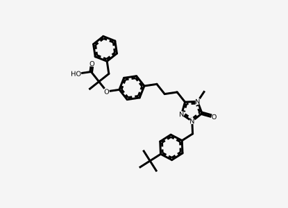 Cn1c(CCCc2ccc(OC(C)(Cc3ccccc3)C(=O)O)cc2)nn(Cc2ccc(C(C)(C)C)cc2)c1=O